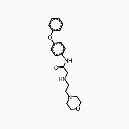 O=C(CNCCN1CCOCC1)Nc1ccc(Oc2ccccc2)cc1